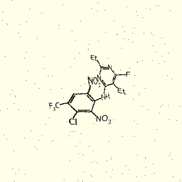 CCc1nc(F)c(CC)c(Nc2c([N+](=O)[O-])cc(C(F)(F)F)c(Cl)c2[N+](=O)[O-])n1